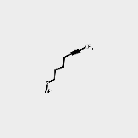 [CH2]CCSCCCCC#CC(F)(F)F